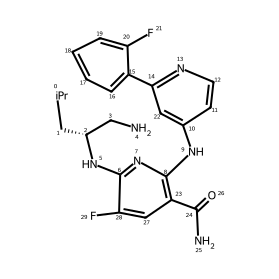 CC(C)C[C@H](CN)Nc1nc(Nc2ccnc(-c3ccccc3F)c2)c(C(N)=O)cc1F